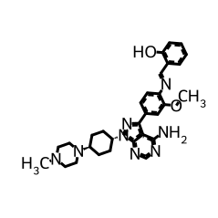 COc1cc(-c2nn([C@H]3CC[C@H](N4CCN(C)CC4)CC3)c3ncnc(N)c23)ccc1N=Cc1ccccc1O